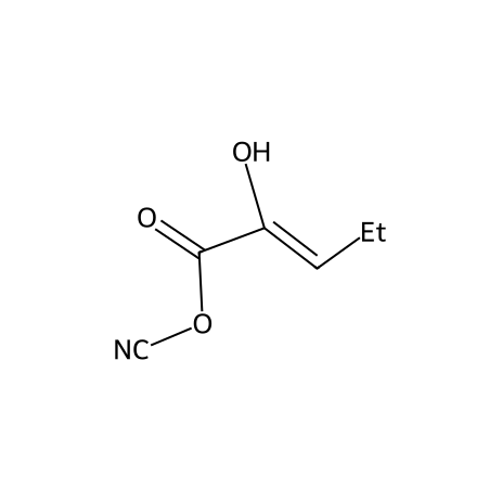 CCC=C(O)C(=O)OC#N